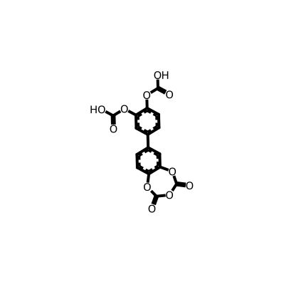 O=C(O)Oc1ccc(-c2ccc3c(c2)OC(=O)OC(=O)O3)cc1OC(=O)O